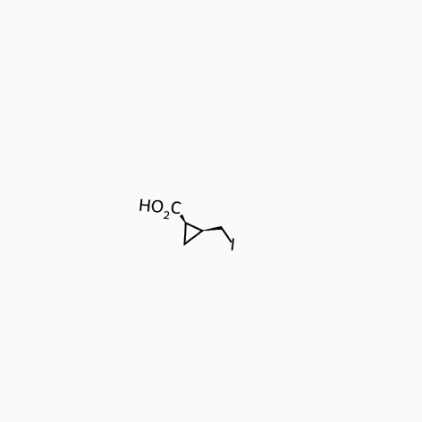 O=C(O)[C@@H]1C[C@@H]1CI